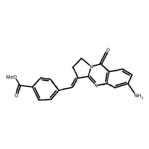 COC(=O)c1ccc(C=C2CCn3c2nc2cc(N)ccc2c3=O)cc1